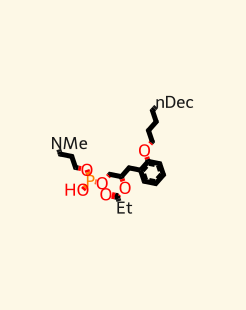 CCCCCCCCCCCCCCOc1ccccc1CC(COP(O)OCCCNC)OC(=O)CC